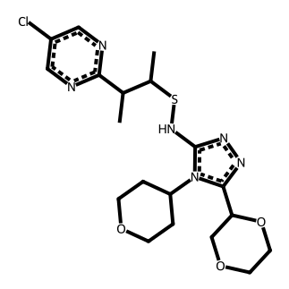 CC(SNc1nnc(C2COCCO2)n1C1CCOCC1)C(C)c1ncc(Cl)cn1